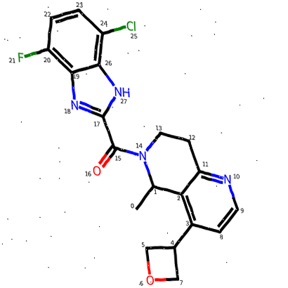 CC1c2c(C3COC3)ccnc2CCN1C(=O)c1nc2c(F)ccc(Cl)c2[nH]1